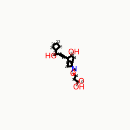 O=C(O)CCON=C1CC2C1CC(O)C2C#CC(O)C1CCCC1